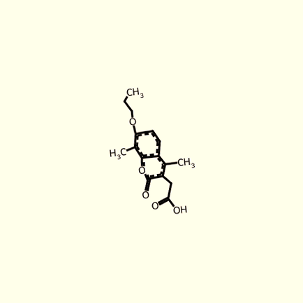 CCCOc1ccc2c(C)c(CC(=O)O)c(=O)oc2c1C